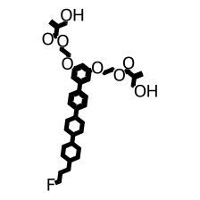 C=C(CO)C(=O)OCCOc1cc(OCCOC(=O)C(=C)CO)cc(-c2ccc(C3CCC(C4CCC(CCCF)CC4)CC3)cc2)c1